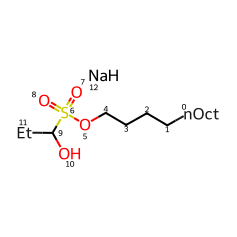 CCCCCCCCCCCCOS(=O)(=O)C(O)CC.[NaH]